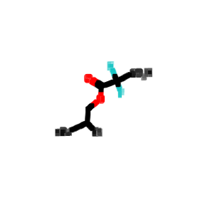 CCCCC(CC)COC(=O)C(F)(F)S(=O)(=O)O